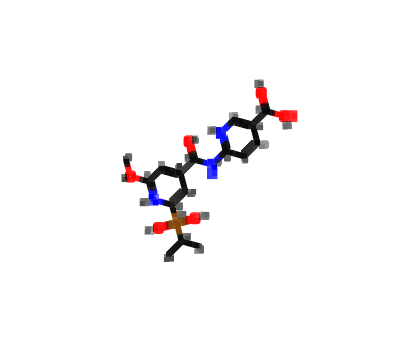 COc1cc(C(=O)Nc2ccc(C(=O)O)cn2)cc(S(=O)(=O)C(C)C)n1